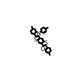 Cc1ccc(-n2c3cc(C)ccc3c3sc4cc5c(cc4c32)sc2c3ccc(C)cc3oc52)cc1